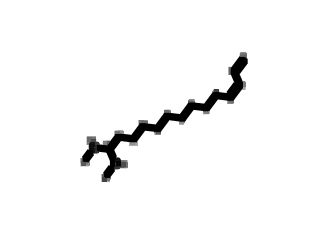 C=C/C=C\CCCCCCCCCC(OC)OC